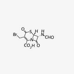 O=CN[C@@H]1C(=O)N2C(C(=O)O)=C(CBr)C(=O)S[C@H]12